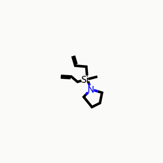 C=CC[Si](C)(CC=C)N1CCCC1